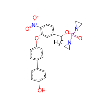 CC(OP(=O)(N1CC1)N1CC1)c1ccc([N+](=O)[O-])c(Oc2ccc(-c3ccc(O)cc3)cc2)c1